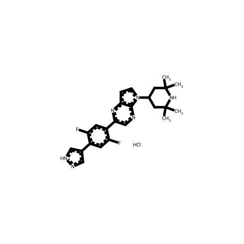 CC1(C)CC(n2ccc3nc(-c4cc(F)c(-c5cn[nH]c5)cc4F)cnc32)CC(C)(C)N1.Cl